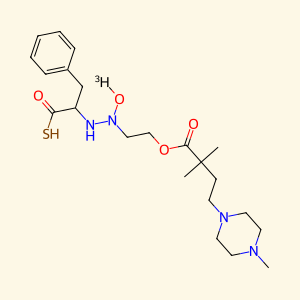 [3H]ON(CCOC(=O)C(C)(C)CCN1CCN(C)CC1)NC(Cc1ccccc1)C(=O)S